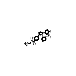 CN(C)CCNC(=O)c1ccc(-c2ccc(-c3ccc(F)cc3)n2-c2ccccc2C(F)(F)F)cc1